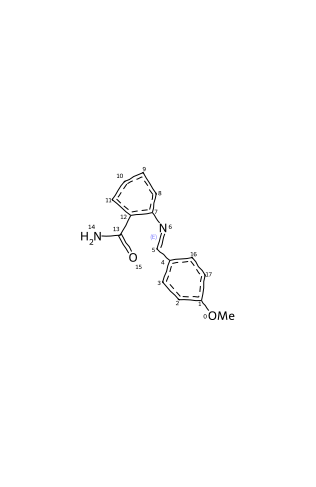 COc1ccc(/C=N/c2ccccc2C(N)=O)cc1